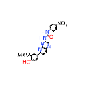 COc1cc(-c2ccc3ncc(NC(=O)Nc4ccc([N+](=O)[O-])cc4)nc3n2)ccc1O